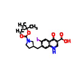 CC(C)(C)OC(=O)N1CCC(Cc2cc3[nH]cc(C(=O)O)c(=O)c3cc2I)C1